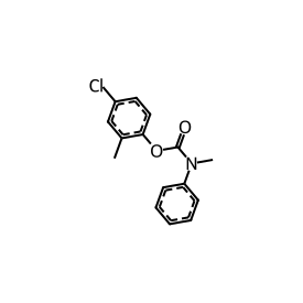 Cc1cc(Cl)ccc1OC(=O)N(C)c1ccccc1